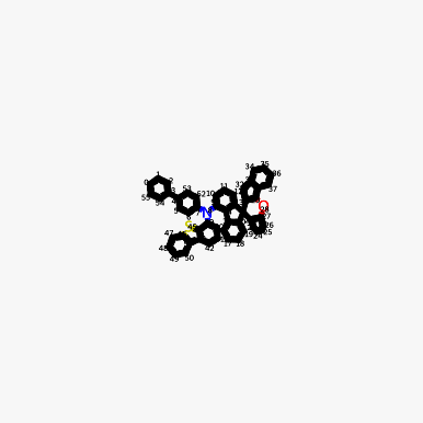 c1ccc(-c2ccc(N(c3cccc4c3-c3ccccc3C43c4ccccc4Oc4c3ccc3ccccc43)c3cccc4c3sc3ccccc34)cc2)cc1